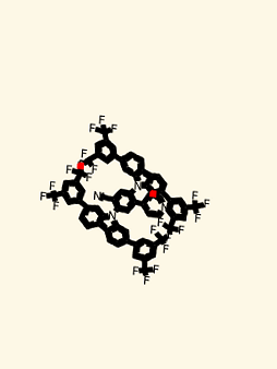 N#Cc1cc(-n2c3cc(-c4cc(C(F)(F)F)cc(C(F)(F)F)c4)ccc3c3ccc(-c4cc(C(F)(F)F)cc(C(F)(F)F)c4)cc32)c(-c2ccncc2)cc1-n1c2cc(-c3cc(C(F)(F)F)cc(C(F)(F)F)c3)ccc2c2ccc(-c3cc(C(F)(F)F)cc(C(F)(F)F)c3)cc21